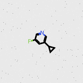 Fc1cncc(C2CC2)c1